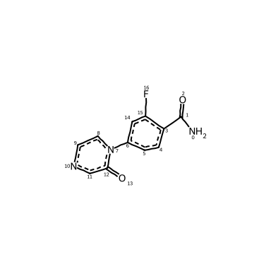 NC(=O)c1ccc(-n2ccncc2=O)cc1F